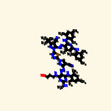 CNc1nc(NCCCO)c(N=Nc2nn(-c3nnc(-n4nc(C(C)(C)C)c(C#N)c4N=Nc4c(C)cc(Nc5c(C)cc(C)cc5C)nc4Nc4c(C)cc(C)cc4C)s3)cc2C#N)c(Nc2c(C)cc(C)cc2C)n1